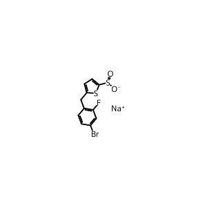 O=S([O-])c1ccc(Cc2ccc(Br)cc2F)s1.[Na+]